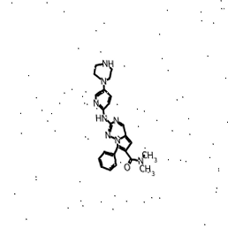 CN(C)C(=O)c1cc2cnc(Nc3ccc(N4CCNCC4)cn3)nn2c1-c1ccccc1